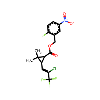 CC1(C)C(C=C(Cl)C(F)(F)F)C1C(=O)OCc1cc([N+](=O)[O-])ccc1F